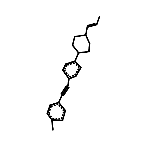 CC=CC1CCC(c2ccc(C#Cc3ccc(C)cc3)cc2)CC1